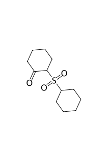 O=C1CCCCC1S(=O)(=O)C1CCCCC1